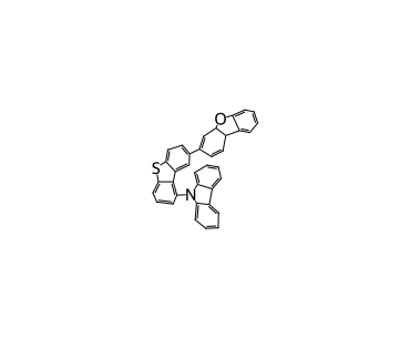 C1=CC2c3ccccc3OC2C=C1c1ccc2sc3cccc(-n4c5ccccc5c5ccccc54)c3c2c1